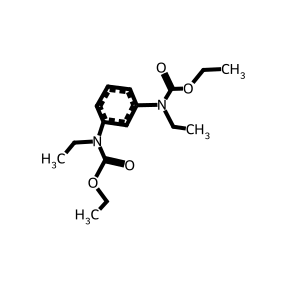 CCOC(=O)N(CC)c1cccc(N(CC)C(=O)OCC)c1